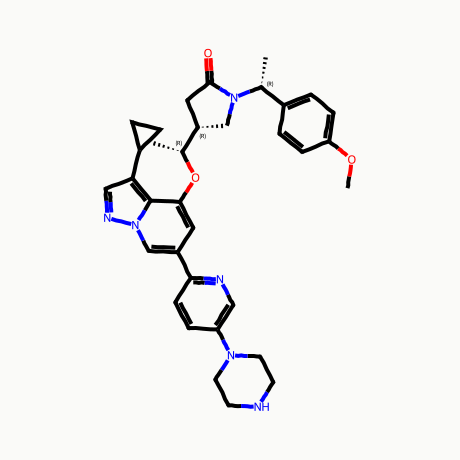 COc1ccc([C@@H](C)N2C[C@H]([C@@H](C)Oc3cc(-c4ccc(N5CCNCC5)cn4)cn4ncc(C5CC5)c34)CC2=O)cc1